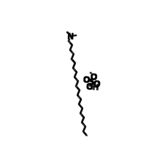 CCCCCCCCCCCCCCCCCCCCCCN(C)C.COS(=O)(=O)O